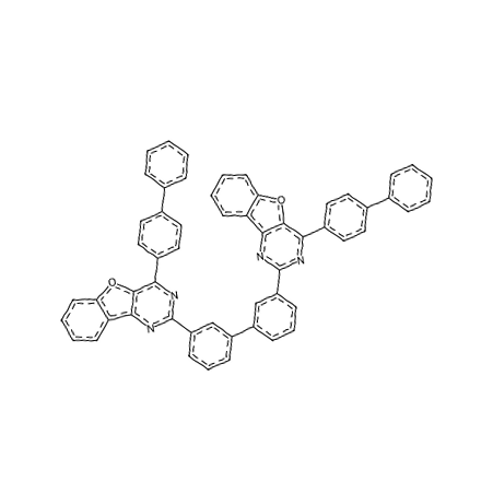 c1ccc(-c2ccc(-c3nc(-c4cccc(-c5cccc(-c6nc(-c7ccc(-c8ccccc8)cc7)c7oc8ccccc8c7n6)c5)c4)nc4c3oc3ccccc34)cc2)cc1